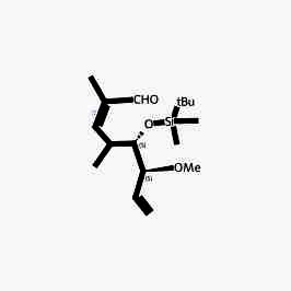 C=C[C@H](OC)[C@@H](O[Si](C)(C)C(C)(C)C)C(C)/C=C(/C)C=O